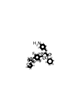 Nc1ccc(C[C@H](NC(=O)c2cc(F)c(NS(=O)(=O)c3ccco3)cc2F)C(=O)OC2CCCCC2)cc1